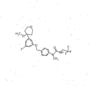 COC1(c2cc(F)cc(OCc3ccc(N(C)C(=O)NCC(F)(F)F)cc3)c2)CCOCC1